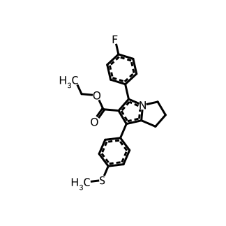 CCOC(=O)c1c(-c2ccc(SC)cc2)c2n(c1-c1ccc(F)cc1)CCC2